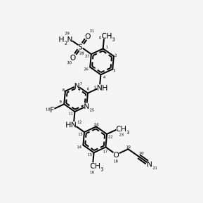 Cc1ccc(Nc2ncc(F)c(Nc3cc(C)c(OCC#N)c(C)c3)n2)cc1S(N)(=O)=O